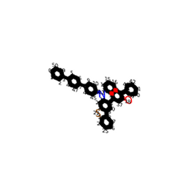 c1ccc(-c2ccc(-c3ccc(N(c4ccccc4)c4cc5sc6ccccc6c5cc4-c4ccc5c(c4)oc4ccccc45)cc3)cc2)cc1